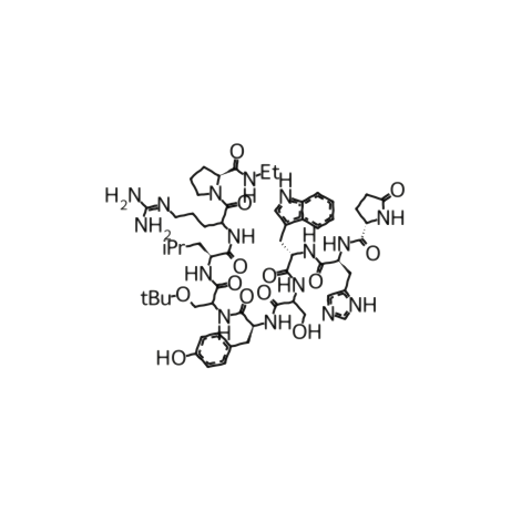 CCNC(=O)[C@@H]1CCCN1C(=O)C(CCCN=C(N)N)NC(=O)[C@H](CC(C)C)NC(=O)C(COC(C)(C)C)NC(=O)[C@H](Cc1ccc(O)cc1)NC(=O)C(CO)NC(=O)[C@H](Cc1c[nH]c2ccccc12)NC(=O)[C@H](Cc1cnc[nH]1)NC(=O)[C@@H]1CCC(=O)N1